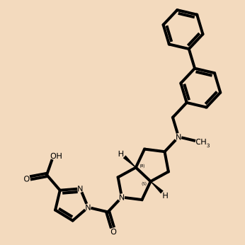 CN(Cc1cccc(-c2ccccc2)c1)C1C[C@@H]2CN(C(=O)n3ccc(C(=O)O)n3)C[C@@H]2C1